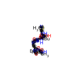 CCN(C1=C(C)C(C(=O)NCc2c(C)cc(C)[nH]c2=O)CC(c2ccc(CN3CCN(C(=O)c4cn(CCC(=O)N[C@H](C(=O)N5C[C@H](O)C[C@H]5C(=O)NCc5ccc(-c6scnc6C)cc5)C(C)(C)C)nn4)CC3)cc2)=C1)C1CCOCC1